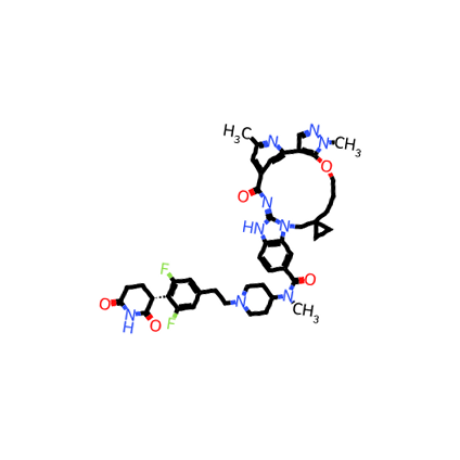 Cc1cc2cc(n1)-c1cnn(C)c1OCCCC1(CC1)CN1/C(=N/C2=O)Nc2ccc(C(=O)N(C)C3CCN(CCc4cc(F)c([C@H]5CCC(=O)NC5=O)c(F)c4)CC3)cc21